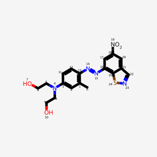 Cc1cc(N(CCO)CCO)ccc1N=Nc1cc([N+](=O)[O-])cc2cnsc12